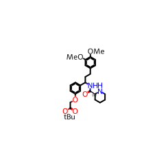 COc1ccc(CCC(NC(=O)[C@@H]2CCCCN2)c2cccc(OCC(=O)OC(C)(C)C)c2)cc1OC